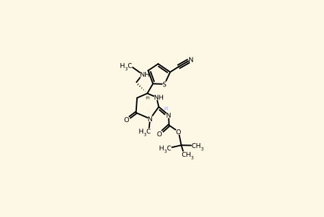 CNC[C@@]1(c2ccc(C#N)s2)CC(=O)N(C)/C(=N\C(=O)OC(C)(C)C)N1